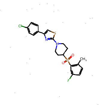 Cc1ccc(F)cc1S(=O)(=O)C1CCN(c2nc(-c3ccc(Cl)cc3)cs2)CC1